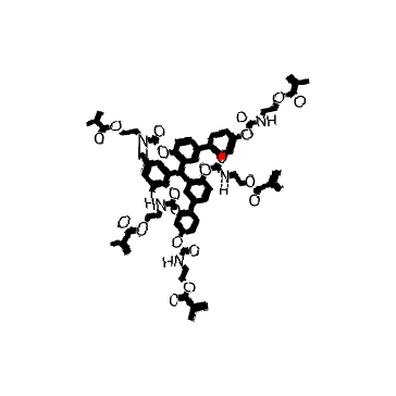 C=C(C)C(=O)OCCNC(=O)Oc1ccc(-c2ccc(OC(=O)NCCOC(=O)C(=C)C)c(C(c3cc(-c4ccc(OC(=O)NCCOC(=O)C(=C)C)cc4)ccc3OC(=O)NCCOC(=O)C(=C)C)c3cc(I)cc(I)c3OC(=O)NCCOC(=O)C(=C)C)c2)cc1